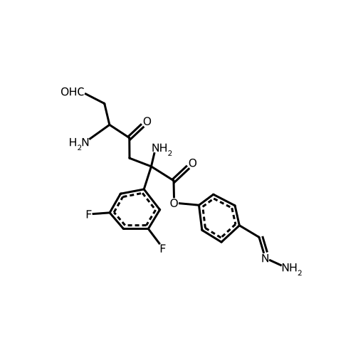 NN=Cc1ccc(OC(=O)C(N)(CC(=O)C(N)CC=O)c2cc(F)cc(F)c2)cc1